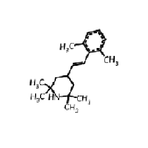 Cc1cccc(C)c1/C=C/C1CC(C)(C)NC(C)(C)C1